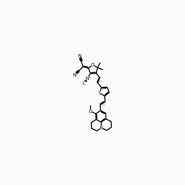 [C-]#[N+]C1=C(/C=C/c2ccc(/C=C/c3cc4c5c(c3OC)CCCN5CCC4)s2)C(C)(C)OC1=C(C#N)C#N